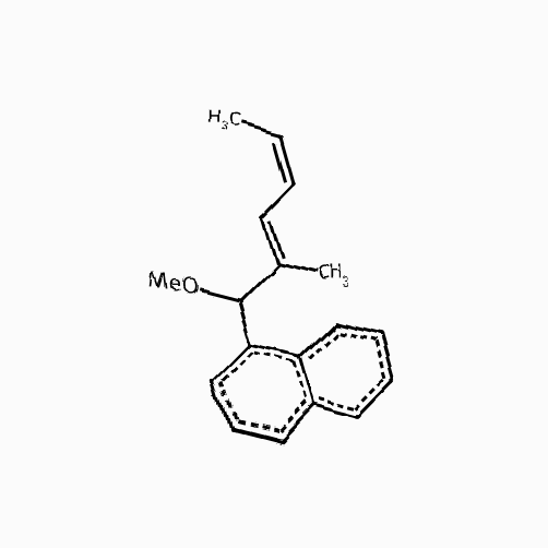 C/C=C\C=C(/C)C(OC)c1cccc2ccccc12